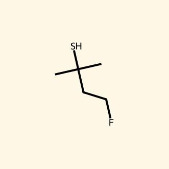 CC(C)(S)CCF